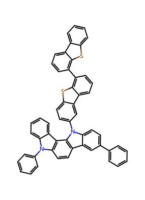 c1ccc(-c2ccc3c(c2)c2ccc4c(c5ccccc5n4-c4ccccc4)c2n3-c2ccc3sc4c(-c5cccc6c5sc5ccccc56)cccc4c3c2)cc1